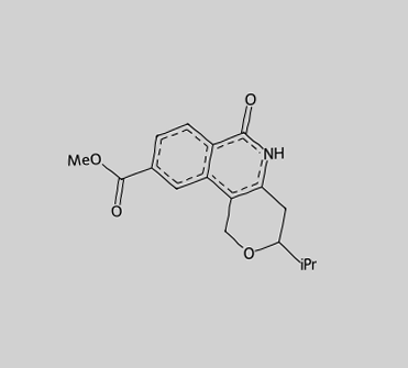 COC(=O)c1ccc2c(=O)[nH]c3c(c2c1)COC(C(C)C)C3